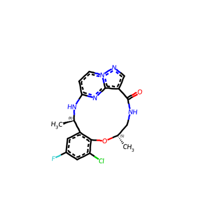 C[C@H]1CNC(=O)c2cnn3ccc(nc23)N[C@H](C)c2cc(F)cc(Cl)c2O1